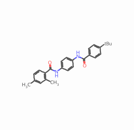 Cc1ccc(C(=O)Nc2ccc(NC(=O)c3ccc(C(C)(C)C)cc3)cc2)c(C)c1